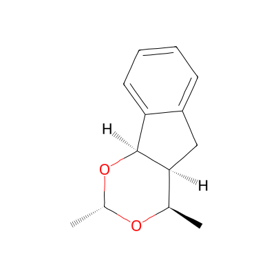 C[C@H]1O[C@H](C)[C@@H]2Cc3ccccc3[C@@H]2O1